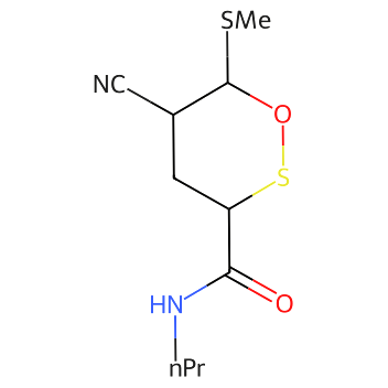 CCCNC(=O)C1CC(C#N)C(SC)OS1